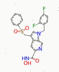 O=C(NO)c1cc2c(CS(=O)(=O)c3ccccc3)cn(Cc3ccc(F)cc3F)c2cn1